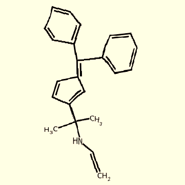 C=CNC(C)(C)C1=CC(=C(c2ccccc2)c2ccccc2)C=C1